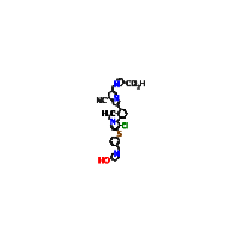 Cc1c(-c2cc3c(C#N)cc(CN4CCC(C(=O)O)C4)cn3c2)cccc1-c1nccc(Sc2cccc(CN3CCC(O)C3)c2)c1Cl